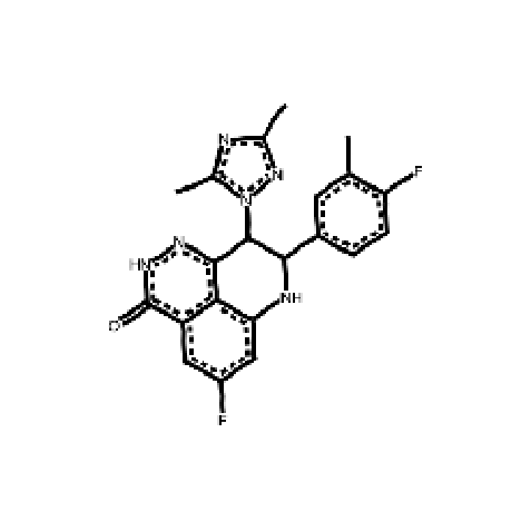 Cc1nc(C)n(C2c3n[nH]c(=O)c4cc(F)cc(c34)NC2c2ccc(F)c(C)c2)n1